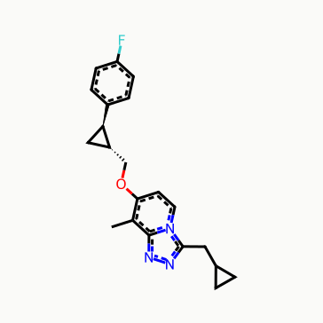 Cc1c(OC[C@@H]2C[C@H]2c2ccc(F)cc2)ccn2c(CC3CC3)nnc12